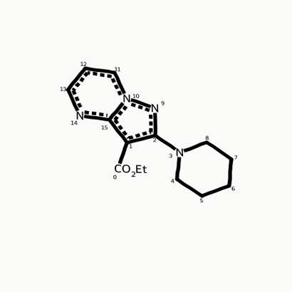 CCOC(=O)c1c(N2CCCCC2)nn2cccnc12